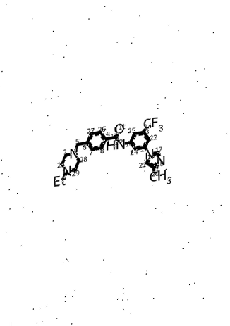 CCN1CCN(Cc2ccc(C(=O)Nc3cc(-n4cnc(C)c4)cc(C(F)(F)F)c3)cc2)CC1